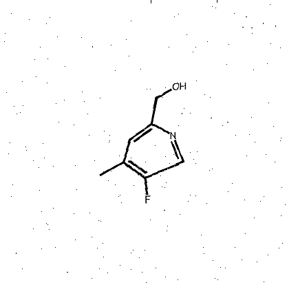 Cc1cc(CO)ncc1F